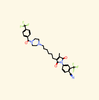 CC1=C(CCCCCCN2CCN(C(=O)c3ccc(C(F)(F)F)cc3)CC2)C(=O)N(c2ccc(C#N)c(C(F)(F)F)c2)C1=O